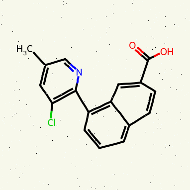 Cc1cnc(-c2cccc3ccc(C(=O)O)cc23)c(Cl)c1